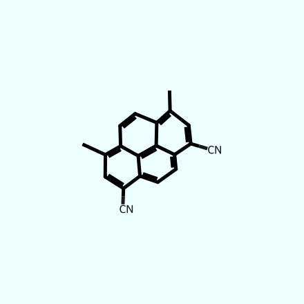 Cc1cc(C#N)c2ccc3c(C#N)cc(C)c4ccc1c2c43